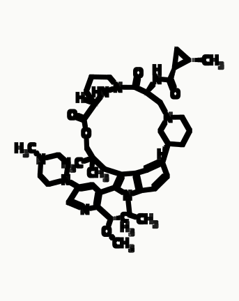 CCn1c(-c2cc(N3CCN(C)CC3)cnc2[C@H](C)OC)c2c3cc(ccc31)[C@@H]1CCCN(C1)C[C@H](NC(=O)[C@H]1C[C@@H]1C)C(=O)N1CCC[C@H](N1)C(=O)OCC(C)(C)C2